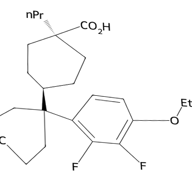 CCC[C@]1(C(=O)O)CC[C@@H](C2(c3ccc(OCC)c(F)c3F)CCCCC2)CC1